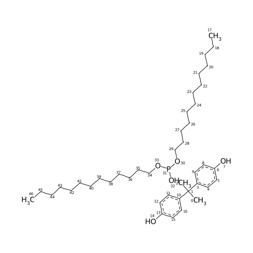 CC(C)(c1ccc(O)cc1)c1ccc(O)cc1.CCCCCCCCCCCCCOP(O)OCCCCCCCCCCCCC